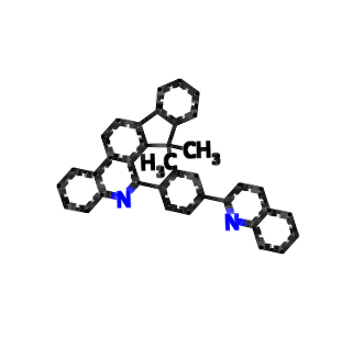 CC1(C)c2ccccc2-c2ccc3c(c(-c4ccc(-c5ccc6ccccc6n5)cc4)nc4ccccc43)c21